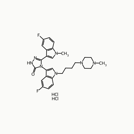 CN1CCN(CCCCn2cc(-n3c(-c4cn(C)c5ccc(F)cc45)n[nH]c3=O)c3cc(F)ccc32)CC1.Cl.Cl